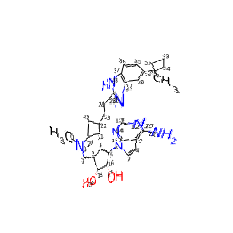 CN(C[C@H]1C[C@@H](n2ccc3c(N)ncnc32)[C@H](O)[C@@H]1O)C1CC(CCc2nc3cc(C4(C)CCC4)ccc3[nH]2)C1